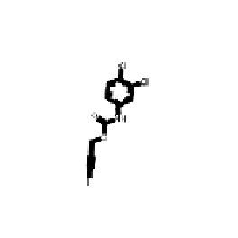 O=C(Nc1ccc(Cl)c(Cl)c1)OCC#CI